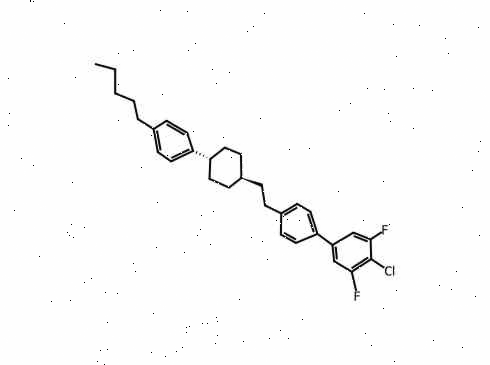 CCCCCc1ccc([C@H]2CC[C@H](CCc3ccc(-c4cc(F)c(Cl)c(F)c4)cc3)CC2)cc1